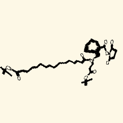 CC(C)(C)OC(=O)CCCCCCCCCCCCCCC(=O)N(CCC(=O)OC(C)(C)C)Cc1ccccc1C(=O)ON1C(=O)CCC1=O